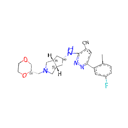 Cc1ccc(F)cc1-c1cc(C#N)c(N[C@@H]2C[C@@H]3CN(C[C@H]4COCCO4)C[C@@H]3C2)nn1